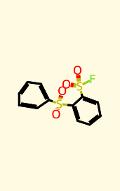 O=S(=O)(F)c1ccccc1S(=O)(=O)c1ccccc1